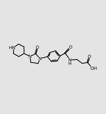 O=C(O)CCNC(=O)c1ccc(N2CCN(C3CCNCC3)C2=O)cc1